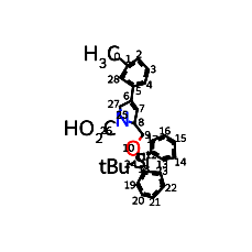 Cc1cccc(C2=CC(CO[Si](c3ccccc3)(c3ccccc3)C(C)(C)C)N(C(=O)O)C2)c1